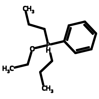 CCC[PH](CCC)(OCC)c1ccccc1